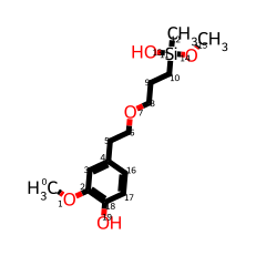 COc1cc(CCOCCC[Si](C)(O)OC)ccc1O